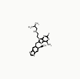 C#Cc1cc2scnc2cc1Cc1nc2c(N)nc(F)nc2n1CCNCC(C)C